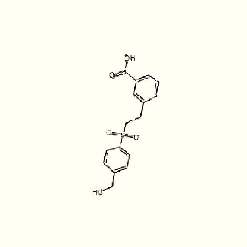 O=C(O)c1cccc(CCS(=O)(=O)c2ccc(CO)cc2)c1